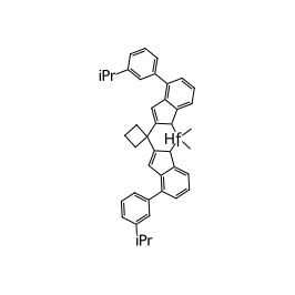 CC(C)c1cccc(-c2cccc3c2C=C2[CH]3[Hf]([CH3])([CH3])[CH]3C(=Cc4c(-c5cccc(C(C)C)c5)cccc43)C23CCC3)c1